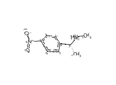 CN[C@H](C)c1ccc([N+](=O)[O-])cc1